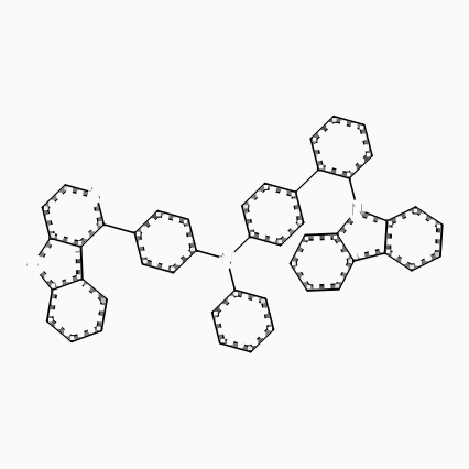 c1ccc(N(c2ccc(-c3ccccc3-n3c4ccccc4c4ccccc43)cc2)c2ccc(-c3nccc4oc5ccccc5c34)cc2)cc1